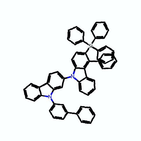 c1ccc(-c2cccc(-n3c4ccccc4c4ccc(-n5c6ccccc6c6c(-c7ccccc7)c([Si](c7ccccc7)(c7ccccc7)c7ccccc7)ccc65)cc43)c2)cc1